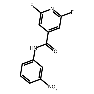 O=C(Nc1cccc([N+](=O)[O-])c1)c1cc(F)nc(F)c1